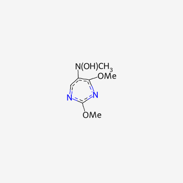 COc1ncc(N(C)O)c(OC)n1